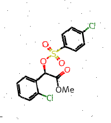 COC(=O)[C@H](OS(=O)(=O)c1ccc(Cl)cc1)c1ccccc1Cl